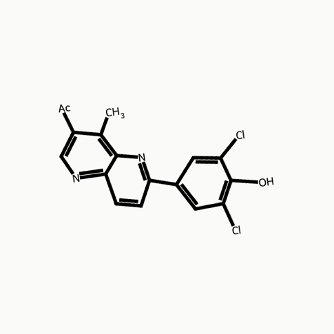 CC(=O)c1cnc2ccc(-c3cc(Cl)c(O)c(Cl)c3)nc2c1C